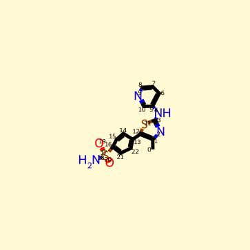 Cc1nc(Nc2cccnc2)sc1-c1ccc(S(N)(=O)=O)cc1